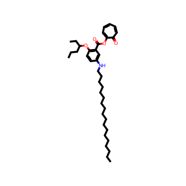 CCCCCCCCCCCCCCCCCCNc1ccc(OC(CC)CCC)c(C(=O)Oc2cccccc2=O)c1